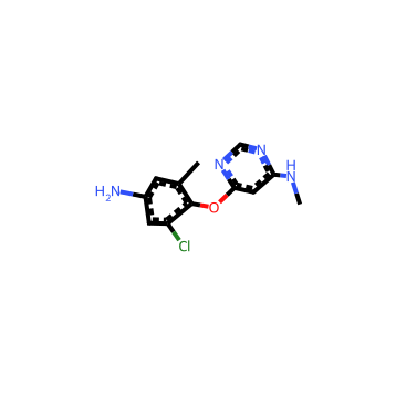 CNc1cc(Oc2c(C)cc(N)cc2Cl)ncn1